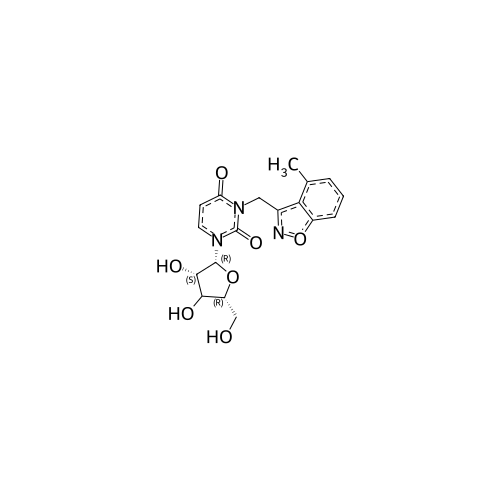 Cc1cccc2onc(Cn3c(=O)ccn([C@@H]4O[C@H](CO)C(O)[C@@H]4O)c3=O)c12